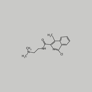 Cc1c(C(=O)NCCN(C)C)nc(Cl)c2ccccc12